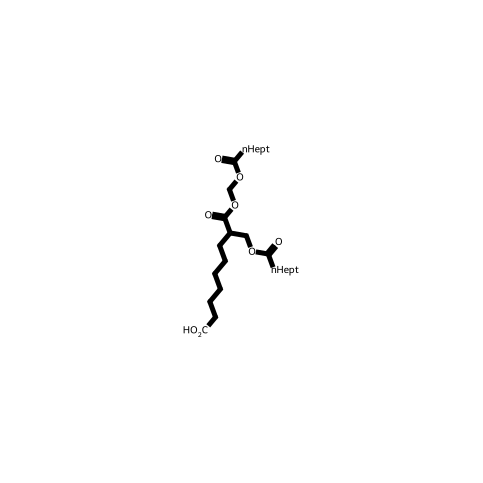 CCCCCCCC(=O)OCOC(=O)C(CCCCCCC(=O)O)COC(=O)CCCCCCC